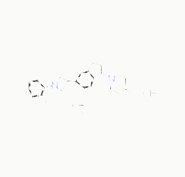 CCOC(C)=O.O=C(O)C1CCN(C2CCc3cc(C4CN(c5c(Cl)cccc5Cl)C4)ccc32)CC1